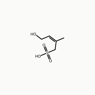 CC(=CCO)CS(=O)(=O)O